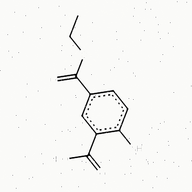 CCOC(=O)c1ccc(S)c(C(=O)O)c1